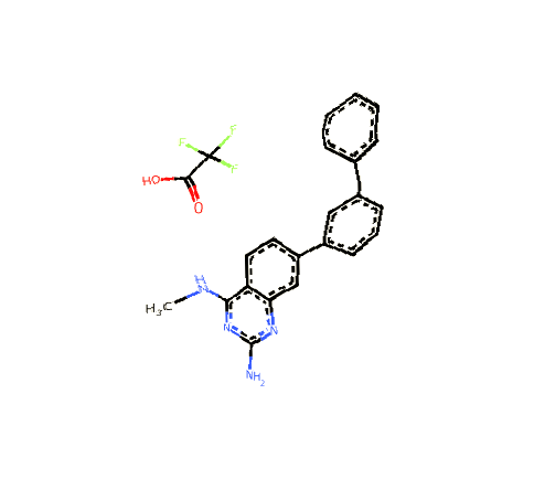 CNc1nc(N)nc2cc(-c3cccc(-c4ccccc4)c3)ccc12.O=C(O)C(F)(F)F